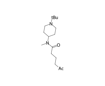 CC(=O)CCCC(=O)N(C)C1CCN(C(C)(C)C)CC1